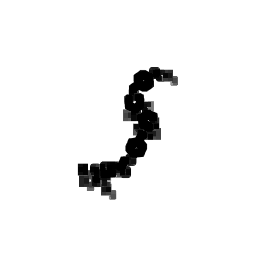 COc1ccc(CN2CCC(Nc3c(Cl)cnc4[nH]c(-c5ccc(OCC(=O)NCC(C)(C)N(C)C)cc5)nc34)CC2)cc1